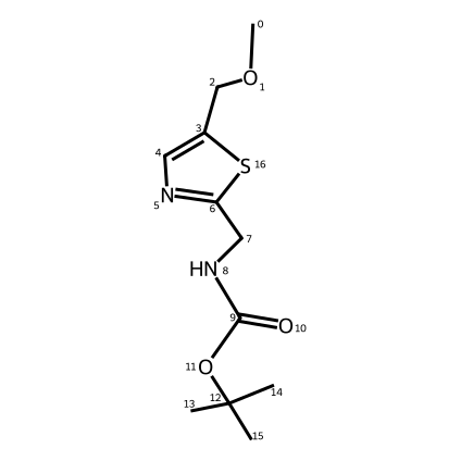 COCc1cnc(CNC(=O)OC(C)(C)C)s1